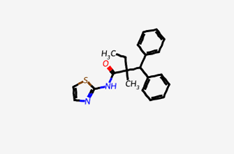 CCC(C)(C(=O)Nc1nccs1)C(c1ccccc1)c1ccccc1